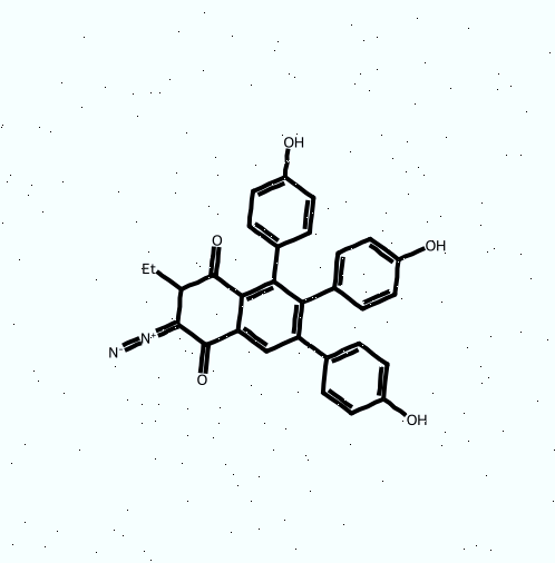 CCC1C(=O)c2c(cc(-c3ccc(O)cc3)c(-c3ccc(O)cc3)c2-c2ccc(O)cc2)C(=O)C1=[N+]=[N-]